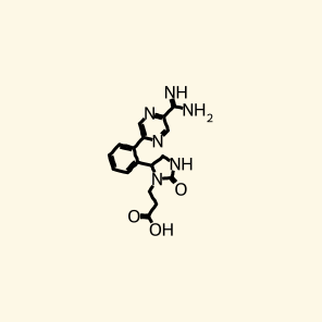 N=C(N)c1cnc(-c2ccccc2C2CNC(=O)N2CCC(=O)O)cn1